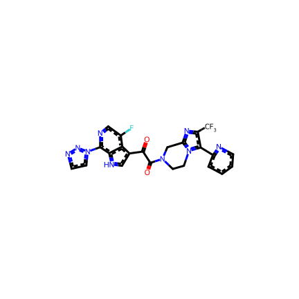 O=C(C(=O)N1CCn2c(nc(C(F)(F)F)c2-c2ccccn2)C1)c1c[nH]c2c(-n3ccnn3)ncc(F)c12